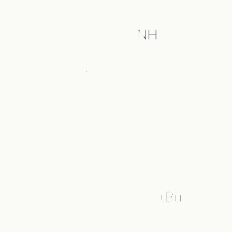 CC(C)(C)c1ccc2c(c1)CNCC2(C)C